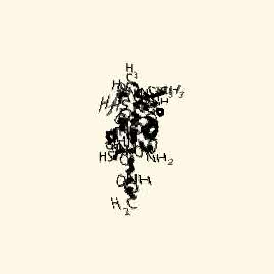 C=CCOC(=O)NCCCC[C@H](NC(=O)[C@@H](N)CS)C(=O)N[C@@H](CCC(N)=O)C(=O)N[C@@H](Cc1ccc(O)cc1)C(=O)N[C@@H](Cc1ccccc1)C(=O)N1CCC[C@H]1C(=O)N1CCC[C@H]1C(=O)N[C@H](C(=O)N[C@@H](CC(C)C)C(=O)N[C@@H](CS)C(N)=O)[C@@H](C)CC